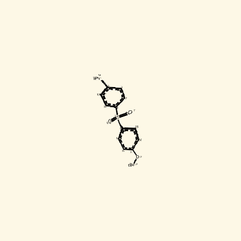 CC(C)c1ccc(S(=O)(=O)c2ccc(OC(C)(C)C)cc2)cc1